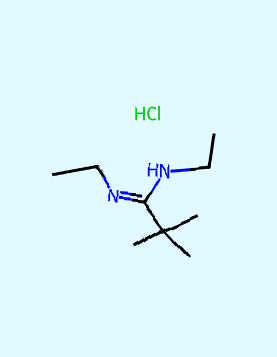 CCN=C(NCC)C(C)(C)C.Cl